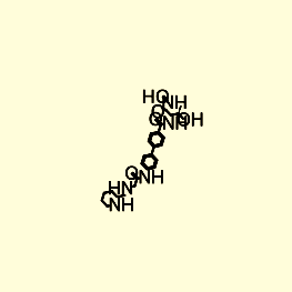 C[C@@H](O)[C@H](NC(=O)c1ccc(-c2ccc(NC(=O)CNCC3CCCCN3)cc2)cc1)C(=O)NO